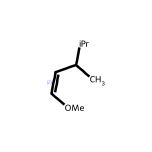 CO/C=C\C(C)C(C)C